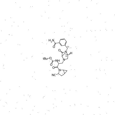 C[C@@H](c1cccc(C(N)=O)c1)N1C(=O)C2C[C@H]1CN2CC(NC(=O)OC(C)(C)C)C(=O)N1C(C#N)CC2CC21